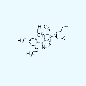 COc1cc(C)cc(C)c1-c1nccn2c(N(CCCF)CC3CC3)c(SC)nc12